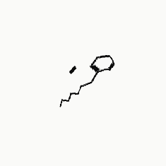 C=C.CCCCCCCc1ccccc1